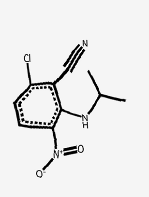 CC(C)Nc1c([N+](=O)[O-])ccc(Cl)c1C#N